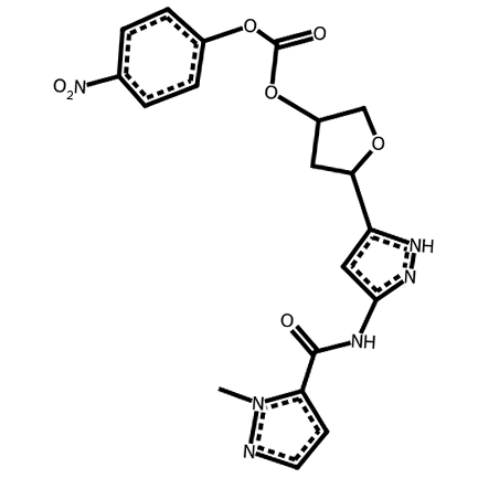 Cn1nccc1C(=O)Nc1cc(C2CC(OC(=O)Oc3ccc([N+](=O)[O-])cc3)CO2)[nH]n1